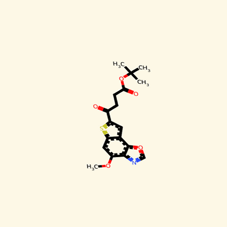 COc1cc2sc(C(=O)CCC(=O)OC(C)(C)C)cc2c2ocnc12